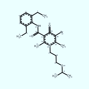 CCc1cccc(CC)c1NC(=O)c1c(C)n(CCCOC(C)C)c(C)c(Br)c1=O